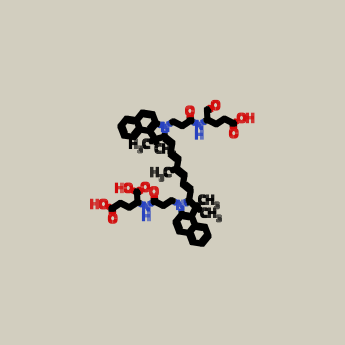 CC(/C=C/C=C1/N(CCC(=O)NC(C=O)CCC(=O)O)c2ccc3ccccc3c2C1(C)C)=C\C=C\C1=[N+](CCC(=O)NC(CCC(=O)O)C(=O)O)c2ccc3ccccc3c2C1(C)C